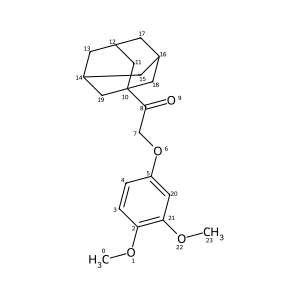 COc1ccc(OCC(=O)C23CC4CC(CC(C4)C2)C3)cc1OC